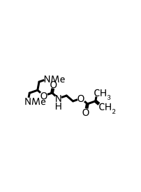 C=C(C)C(=O)OCCNC(=O)OC(CNC)CNC